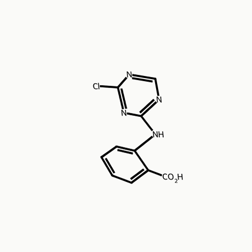 O=C(O)c1ccccc1Nc1ncnc(Cl)n1